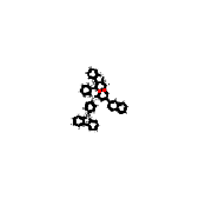 c1cc(-c2ccc3ccccc3c2)cc(N(c2ccc(-n3c4ccccc4c4ccccc43)cc2)c2ccccc2-c2cccc3sc4ccccc4c23)c1